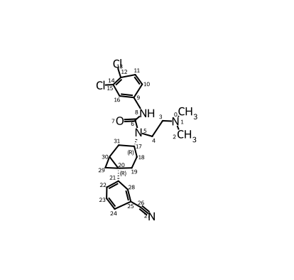 CN(C)CCN(C(=O)Nc1ccc(Cl)c(Cl)c1)[C@@H]1CC[C@@]2(c3cccc(C#N)c3)CC2C1